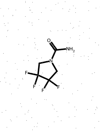 NC(=O)N1CC(F)(F)C(F)(F)C1